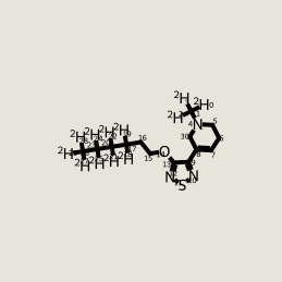 [2H]C([2H])([2H])N1CCC=C(c2nsnc2OCCC([2H])([2H])C([2H])([2H])C([2H])([2H])C([2H])([2H])[2H])C1